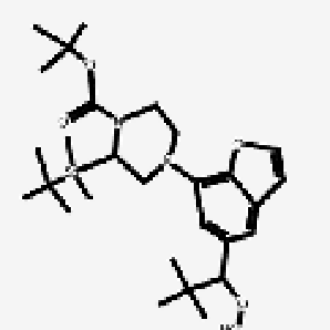 C[SiH](C)OC(c1cc(N2CCN(C(=O)OC(C)(C)C)C([Si](C)(C)C(C)(C)C)C2)c2occc2c1)C(C)(C)C